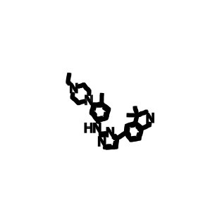 CCN1CCN(c2cc(Nc3nccc(-c4ccc5c(c4)C(C)(C)CN=C5)n3)ccc2C)CC1